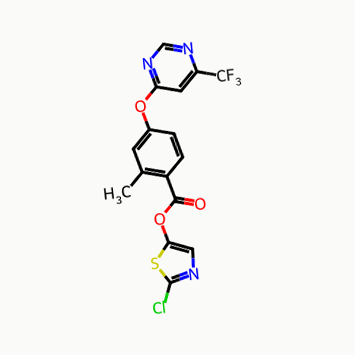 Cc1cc(Oc2cc(C(F)(F)F)ncn2)ccc1C(=O)Oc1cnc(Cl)s1